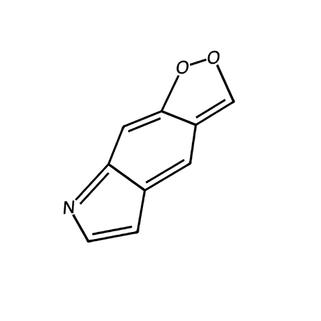 c1cc2cc3cooc3cc2n1